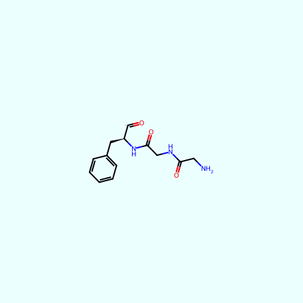 NCC(=O)NCC(=O)N[C@H]([C]=O)Cc1ccccc1